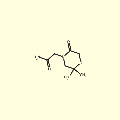 CC1(C)CN(CC(N)=O)C(=O)CO1